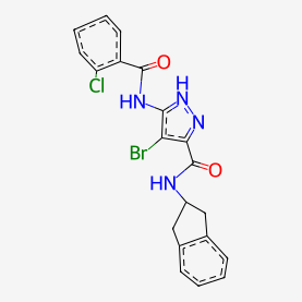 O=C(Nc1[nH]nc(C(=O)NC2Cc3ccccc3C2)c1Br)c1ccccc1Cl